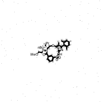 CCCCN(CCOC)N1C(=O)c2cccc(c2)S(=O)(=O)Nc2nc(c(C)c(-c3c(C)cccc3C)n2)OC[C@H]1CC(C)C